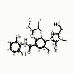 Cn1c(CO)nn(-c2cc(O[C@@H](CF)C(F)F)c(C(=O)Nc3c(Cl)cccc3Cl)cc2F)c1=O